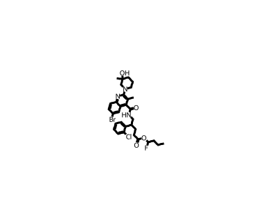 CCCC(F)OC(=O)CCC(CNC(=O)c1c(C)c(N2CCCC(C)(O)C2)nc2ccc(Br)cc12)c1ccccc1Cl